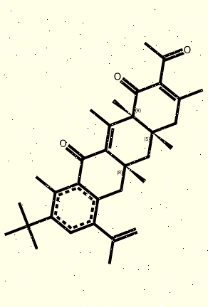 C=C(C)c1cc(C(C)(C)C)c(C)c2c1C[C@@]1(C)C[C@@]3(C)CC(C)=C(C(C)=O)C(=O)[C@@]3(C)C(C)=C1C2=O